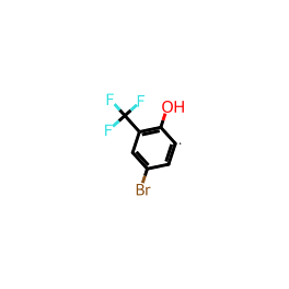 Oc1[c]cc(Br)cc1C(F)(F)F